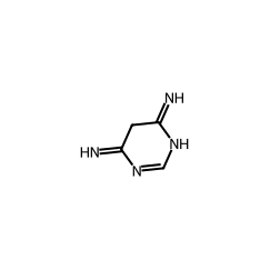 N=C1CC(=N)NC=N1